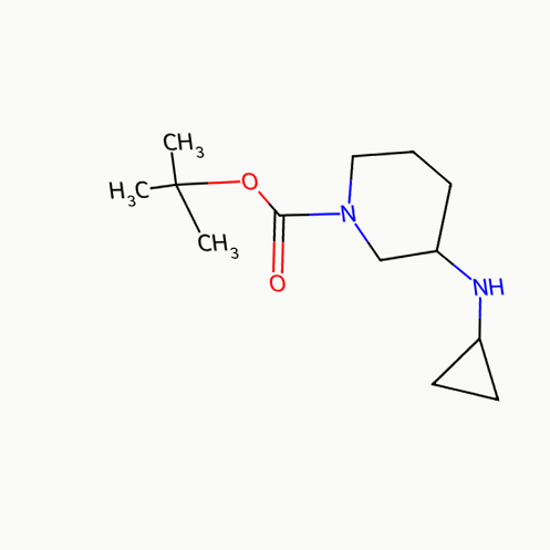 CC(C)(C)OC(=O)N1CCCC(NC2CC2)C1